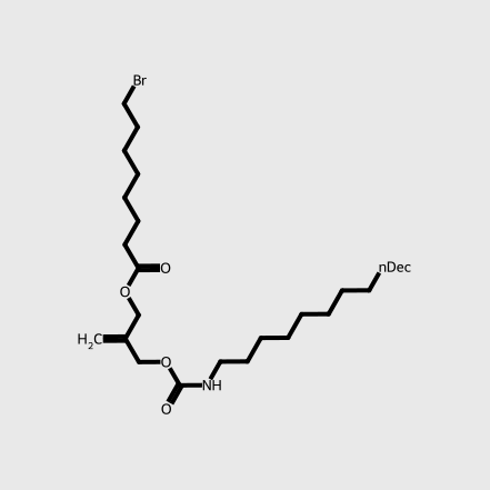 C=C(COC(=O)CCCCCCCBr)COC(=O)NCCCCCCCCCCCCCCCCCC